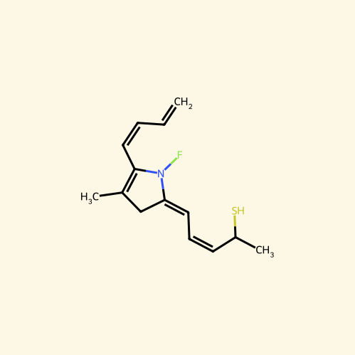 C=C/C=C\C1=C(C)C/C(=C\C=C/C(C)S)N1F